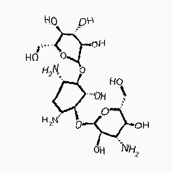 N[C@@H]1[C@@H](O)[C@@H](O[C@@H]2[C@@H](O)[C@H](O[C@H]3O[C@H](CO)[C@@H](O)[C@H](O)[C@H]3O)[C@@H](N)C[C@H]2N)O[C@H](CO)[C@H]1O